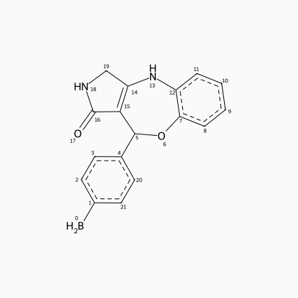 Bc1ccc(C2Oc3ccccc3NC3=C2C(=O)NC3)cc1